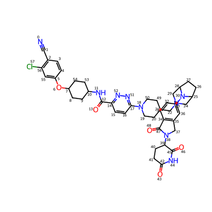 N#Cc1ccc(OC2CCC(NC(=O)c3ccc(N4CCC(CN5CC6CCC(C5)N6c5ccc6c(c5)CN(C5CCC(=O)NC5=O)C6=O)CC4)nn3)CC2)cc1Cl